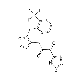 O=C(Cc1ccoc1Sc1ccccc1C(F)(F)F)C(=O)c1nc[nH]n1